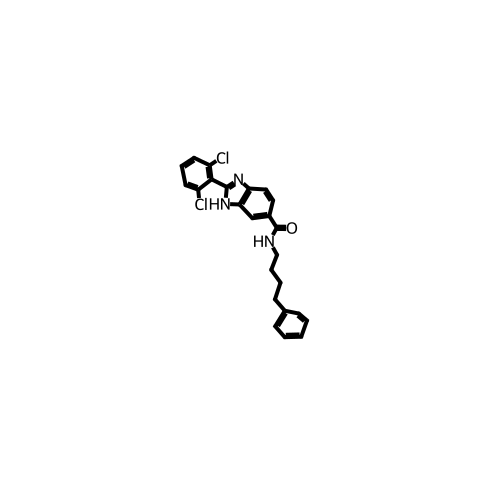 O=C(NCCCCc1ccccc1)c1ccc2nc(-c3c(Cl)cccc3Cl)[nH]c2c1